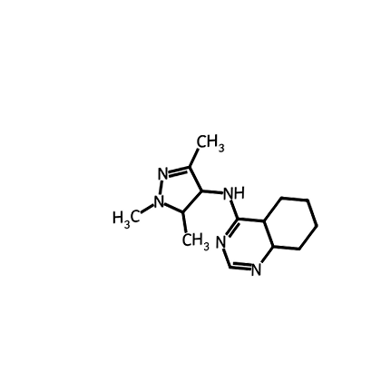 CC1=NN(C)C(C)C1NC1=NC=NC2CCCCC12